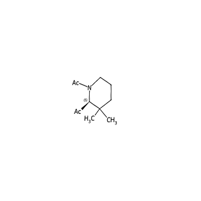 CC(=O)[C@H]1N(C(C)=O)CCCC1(C)C